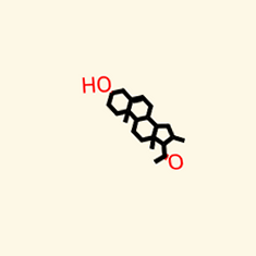 CC(=O)C1C(C)CC2C3CC=C4CC(O)CCC4(C)C3CCC21C